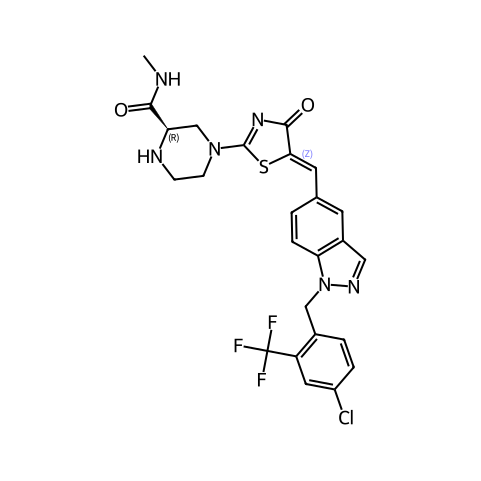 CNC(=O)[C@H]1CN(C2=NC(=O)/C(=C/c3ccc4c(cnn4Cc4ccc(Cl)cc4C(F)(F)F)c3)S2)CCN1